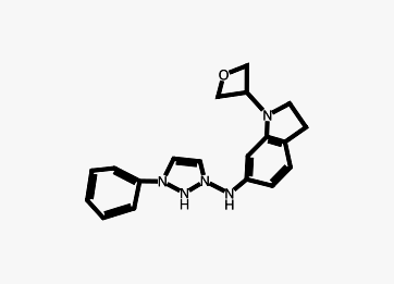 C1=CN(c2ccccc2)NN1Nc1ccc2c(c1)N(C1COC1)CC2